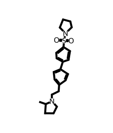 CC1CCCN1CCc1ccc(-c2ccc(S(=O)(=O)N3CCCC3)cc2)cc1